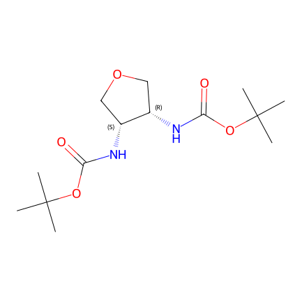 CC(C)(C)OC(=O)N[C@H]1COC[C@H]1NC(=O)OC(C)(C)C